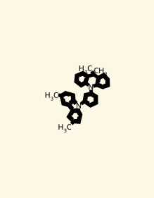 Cc1ccc2c(c1)c1cc(C)ccc1n2-c1cccc(N2c3ccccc3C(C)(C)c3ccccc32)c1